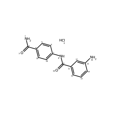 Cl.NC(=O)c1ccc(NC(=O)c2cccc(N)c2)cc1